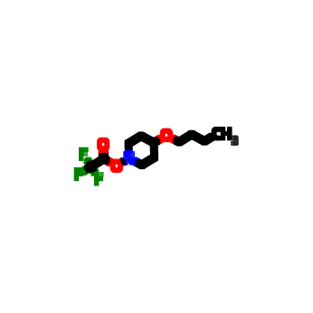 CCCCOC1CCN(OC(=O)C(F)(F)F)CC1